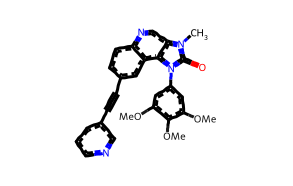 COc1cc(-n2c(=O)n(C)c3cnc4ccc(C#Cc5cccnc5)cc4c32)cc(OC)c1OC